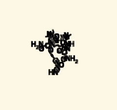 CCn1nc(C)cc1C(=O)Nc1nc2cc(C(N)=O)cc(OC)c2n1C/C=C/Cn1c(NC(=O)c2cc(C)nn2CC)nc2cc(C(N)=O)cc(OCC#CC3CCN(C(=O)N4CCNCC4)CC3)c21